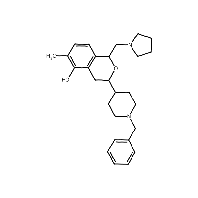 Cc1ccc2c(c1O)CC(C1CCN(Cc3ccccc3)CC1)OC2CN1CCCC1